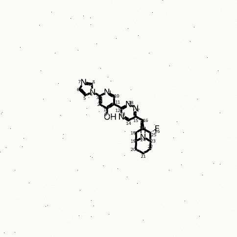 Oc1cc(-n2ccnc2)ncc1-c1ncc(/C=C2\CC3CCCC(N3)[C@H]2F)nn1